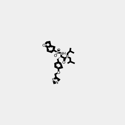 CC(C)CN(CC(C)C)C(=O)[C@H](Cc1ccc(OCc2cncs2)cc1)NS(=O)(=O)c1ccc2occc2c1